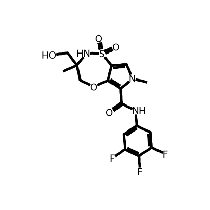 Cn1cc2c(c1C(=O)Nc1cc(F)c(F)c(F)c1)OCC(C)(CO)NS2(=O)=O